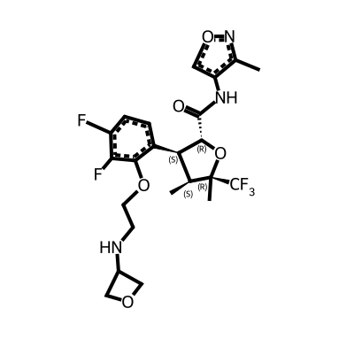 Cc1nocc1NC(=O)[C@@H]1O[C@@](C)(C(F)(F)F)[C@@H](C)[C@H]1c1ccc(F)c(F)c1OCCNC1COC1